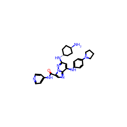 N[C@H]1CC[C@H](Nc2cc(Nc3ccc(N4CCCC4)cc3)c3ncc(C(=O)Nc4ccncc4)n3n2)CC1